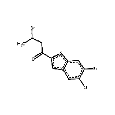 CC(=O)[C@@H](C)CC(=O)c1cc2cc(Cl)c(Br)cc2s1